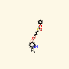 O=C(COc1ccccc1)SCCCCOOCOC1CCC[SiH2]NCC1